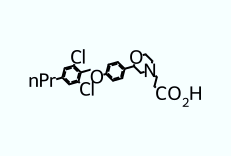 CCCc1cc(Cl)c(COc2ccc(C3CN(CCC(=O)O)CCO3)cc2)c(Cl)c1